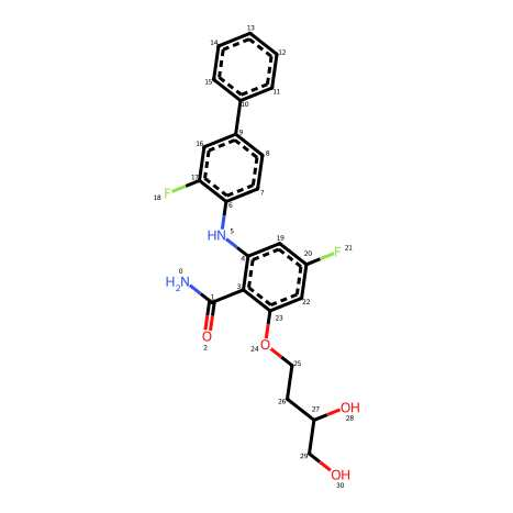 NC(=O)c1c(Nc2ccc(-c3ccccc3)cc2F)cc(F)cc1OCCC(O)CO